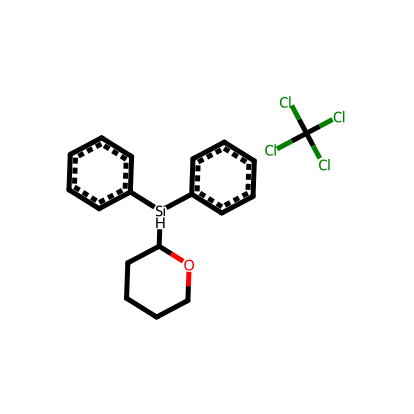 ClC(Cl)(Cl)Cl.c1ccc([SiH](c2ccccc2)C2CCCCO2)cc1